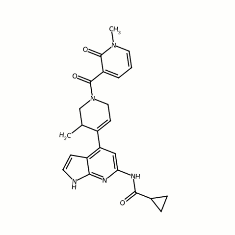 CC1CN(C(=O)c2cccn(C)c2=O)CC=C1c1cc(NC(=O)C2CC2)nc2[nH]ccc12